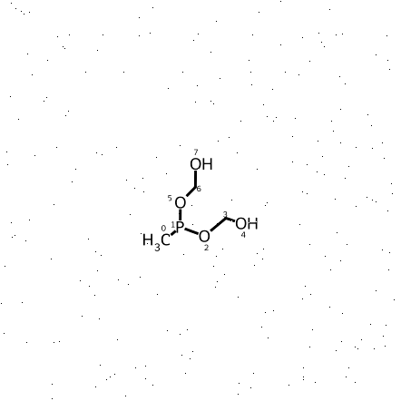 CP(OCO)OCO